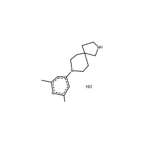 Cc1cc(N2CCC3(CCNC3)CC2)cc(C)n1.Cl